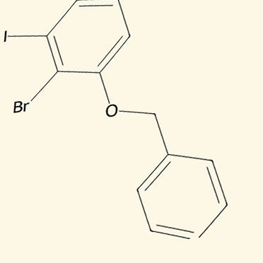 Brc1c(I)cccc1OCc1ccccc1